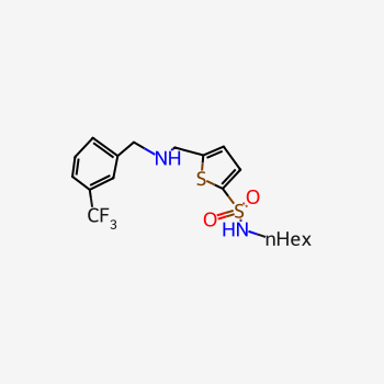 CCCCCCNS(=O)(=O)c1ccc(CNCc2cccc(C(F)(F)F)c2)s1